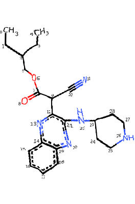 CCC(CC)COC(=O)C(C#N)c1nc2ccccc2nc1NC1CCNCC1